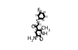 Cc1[nH]c(=O)c(N)cc1C(=O)CSc1cccc(F)c1